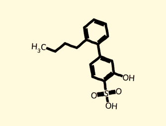 CCCCc1ccccc1-c1ccc(S(=O)(=O)O)c(O)c1